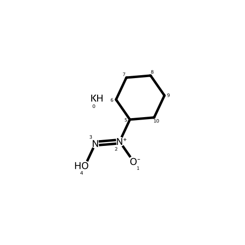 [KH].[O-][N+](=NO)C1CCCCC1